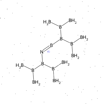 BB(B)B(/B=N/B(B(B)B)B(B)B)B(B)B